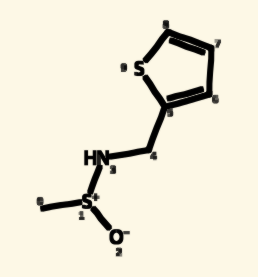 C[S+]([O-])NCc1cccs1